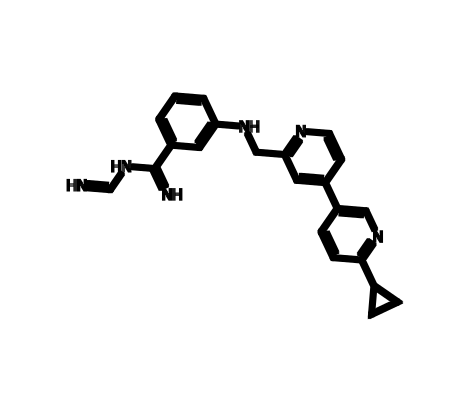 N=CNC(=N)c1cccc(NCc2cc(-c3ccc(C4CC4)nc3)ccn2)c1